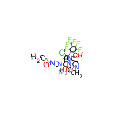 C=CC(=O)N1CCN(c2c(C#N)c(=O)n(-c3c(C)ccnc3C(C)C)c3nc(-c4c(O)c(F)c(F)c(C(F)(F)F)c4F)c(Cl)cc23)CC1